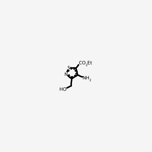 CCOC(=O)c1snc(CO)c1N